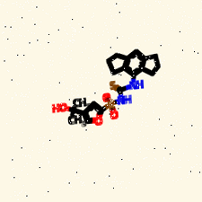 CC(C)(O)c1coc(S(=O)(=O)NC(=S)Nc2c3c(cc4c2CCC4)CCC3)c1